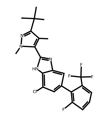 Cc1c(C(C)(C)C)nn(C)c1-c1nc2cc(-c3c(F)cccc3C(F)(F)F)cc(Cl)c2[nH]1